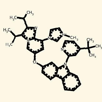 CC(C)c1nc2c(-n3cc[n+](C)c3)cc(Oc3ccc4c5ccccc5n(-c5cc(C(C)(C)C)ccn5)c4c3)cn2c1C(C)C